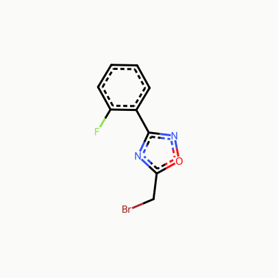 Fc1ccccc1-c1noc(CBr)n1